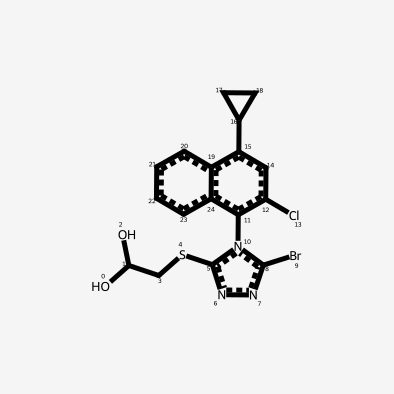 OC(O)CSc1nnc(Br)n1-c1c(Cl)cc(C2CC2)c2ccccc12